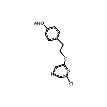 COc1ccc(CCOc2cncc(Cl)n2)cc1